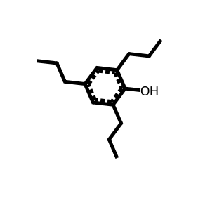 CCCc1cc(CCC)c(O)c(CCC)c1